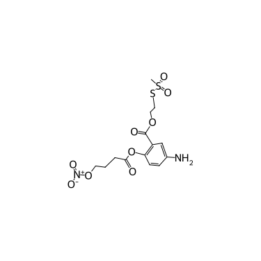 CS(=O)(=O)SCCOC(=O)c1cc(N)ccc1OC(=O)CCCO[N+](=O)[O-]